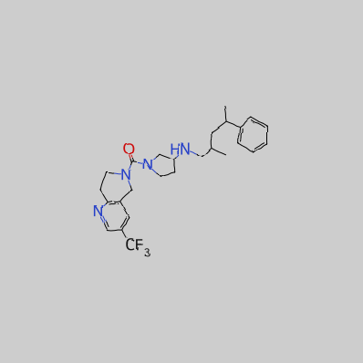 CC(CNC1CCN(C(=O)N2CCc3ncc(C(F)(F)F)cc3C2)C1)CC(C)c1ccccc1